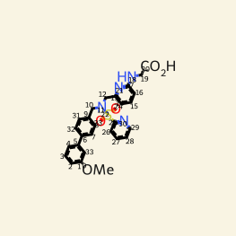 COc1cccc(-c2ccc(CN(Cc3cccc(NCC(=O)O)n3)S(=O)(=O)c3ccccn3)cc2)c1